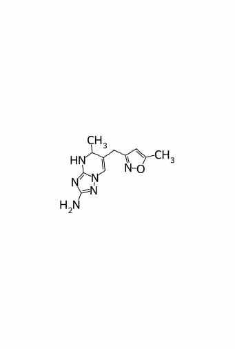 Cc1cc(CC2=Cn3nc(N)nc3NC2C)no1